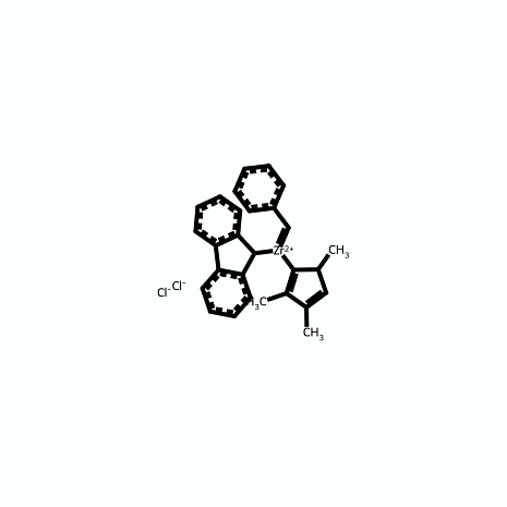 CC1=CC(C)[C](/[Zr+2](=[CH]/c2ccccc2)[CH]2c3ccccc3-c3ccccc32)=C1C.[Cl-].[Cl-]